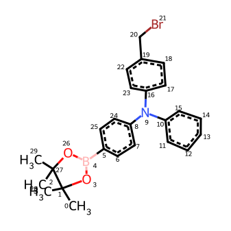 CC1(C)OB(c2ccc(N(c3ccccc3)c3ccc(CBr)cc3)cc2)OC1(C)C